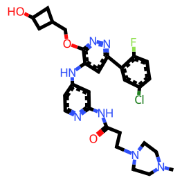 CN1CCN(CCC(=O)Nc2cc(Nc3cc(-c4cc(Cl)ccc4F)nnc3OCC3CC(O)C3)ccn2)CC1